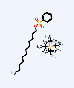 CC(C)(C)[PH](C(C)(C)C)(C(C)(C)C)C(C)(C)C.CCCCCCCCCCCCOS(=O)(=O)c1ccccc1